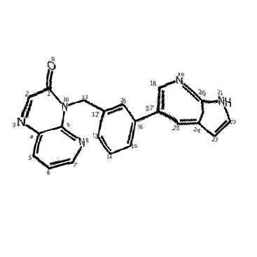 O=c1cnc2cccnc2n1Cc1cccc(-c2cnc3[nH]ccc3c2)c1